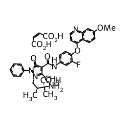 COc1ccc2c(Oc3ccc(NC(=O)c4c(C)n(C[C@H](C)[C@](C)(N)C(=O)O)n(-c5ccccc5)c4=O)cc3F)ccnc2c1.O=C(O)/C=C\C(=O)O